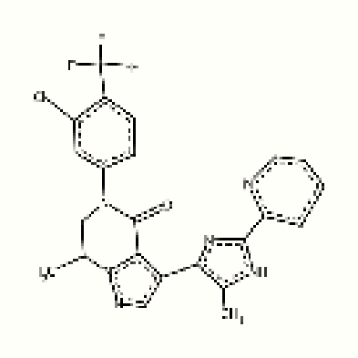 Cc1[nH]c(-c2ccccn2)nc1-c1cnn2c1C(=O)N(c1ccc(C(F)(F)F)c(Cl)c1)CC2C